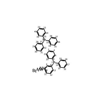 [Br-].[Mn].[NH4+].c1ccc(P(c2ccccc2)c2ccccc2)cc1.c1ccc(P(c2ccccc2)c2ccccc2)cc1